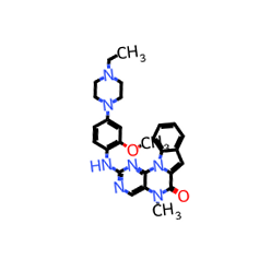 CCN1CCN(c2ccc(Nc3ncc4c(n3)n3c(cc5ccccc53)c(=O)n4C)c(OC)c2)CC1